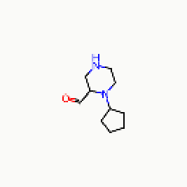 O=[C]C1CNCCN1C1CCCC1